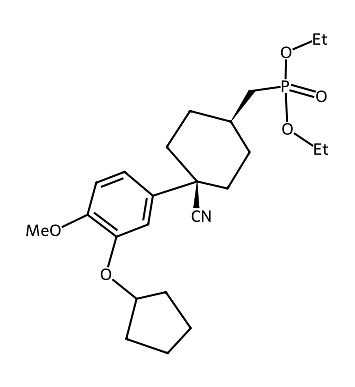 CCOP(=O)(C[C@H]1CC[C@](C#N)(c2ccc(OC)c(OC3CCCC3)c2)CC1)OCC